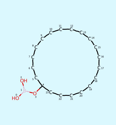 OB(O)OC1CCCCCCCCCCCCCCCCCCC1